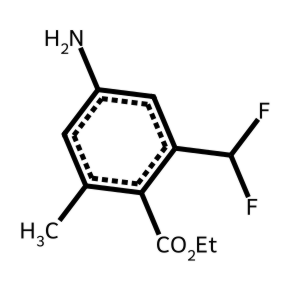 CCOC(=O)c1c(C)cc(N)cc1C(F)F